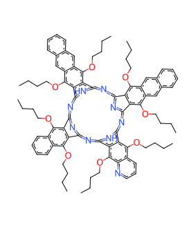 CCCCOc1c2c(c(OCCCC)c3cc4ccccc4cc13)-c1nc-2nc2[nH]c(nc3nc(nc4[nH]c(n1)c1c(OCCCC)c5cccnc5c(OCCCC)c41)-c1c-3c(OCCCC)c3ccccc3c1OCCCC)c1c(OCCCC)c3cc4ccccc4cc3c(OCCCC)c21